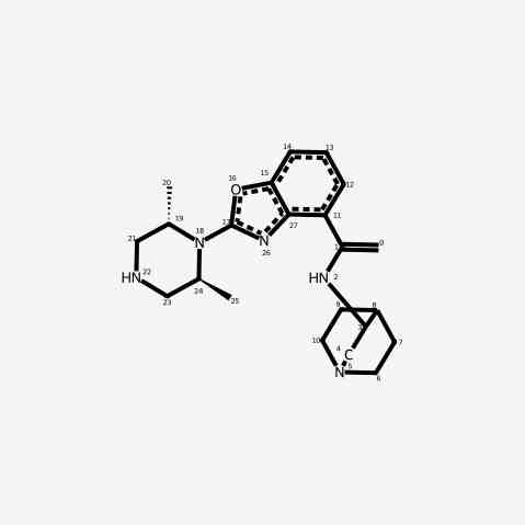 C=C(NC1CN2CCC1CC2)c1cccc2oc(N3[C@@H](C)CNC[C@@H]3C)nc12